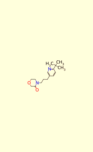 CC(C)(C)c1ccc(CCCN2CCOCC2=O)cn1